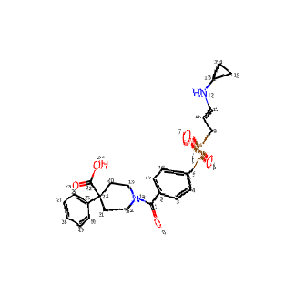 O=C(c1ccc(S(=O)(=O)CC=CNC2CC2)cc1)N1CCC(C(=O)O)(c2ccccc2)CC1